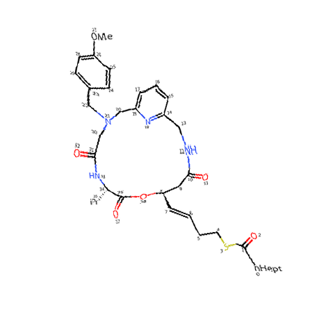 CCCCCCCC(=O)SCC/C=C/[C@@H]1CC(=O)NCc2cccc(n2)CN(Cc2ccc(OC)cc2)CC(=O)N[C@@H](C(C)C)C(=O)O1